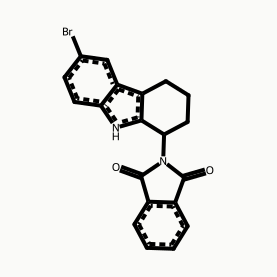 O=C1c2ccccc2C(=O)N1C1CCCc2c1[nH]c1ccc(Br)cc21